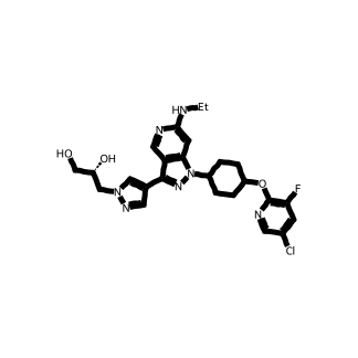 CCNc1cc2c(cn1)c(-c1cnn(C[C@@H](O)CO)c1)nn2C1CCC(Oc2ncc(Cl)cc2F)CC1